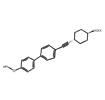 CCCCCCCC[C@H]1CC[C@H](C#Cc2ccc(-c3ccc(OCCC)cc3)cc2)CC1